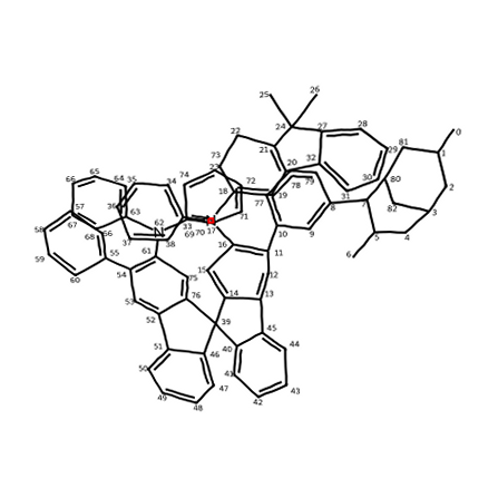 CC1CC2CC(C)C(C3=CC(c4cc5c(cc4N(C4=CC6=C(CC4)C(C)(C)c4ccccc46)c4ccccc4)C4(c6ccccc6-5)c5ccccc5-c5cc(-c6ccccc6)c(N(c6ccccc6)c6ccccc6)cc54)=C=C=C3)C(C1)C2